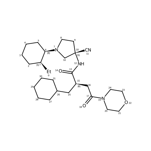 CC[C@H]1CCCC[C@H]1N1CC[C@](C#N)(NC(=O)[C@@H](CC(=O)N2CCOCC2)CC2CCCCC2)C1